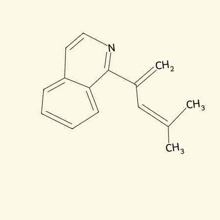 C=C(C=C(C)C)c1nccc2ccccc12